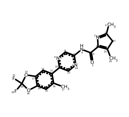 CC1=NC(C(=O)Nc2cnc(-c3cc4c(cc3C)OC(F)(F)O4)cn2)=C(C)C1